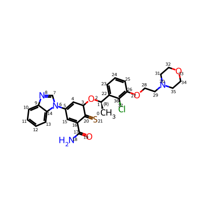 C[C@@H](OC1C=C(n2cnc3ccccc32)C=C(C(N)=O)C1=S)c1cccc(OCCN2CCOCC2)c1Cl